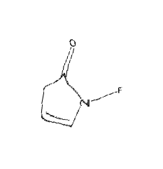 O=C1CC=CN1F